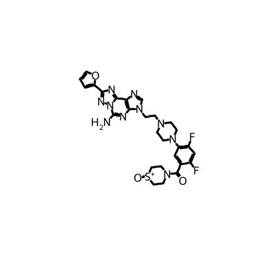 Nc1nc2c(ncn2CCN2CCN(c3cc(C(=O)N4CC[S+]([O-])CC4)c(F)cc3F)CC2)c2nc(-c3ccco3)nn12